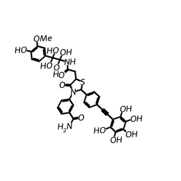 COc1cc(C(O)(O)C(O)(O)NC(=O)CC2SC(c3ccc(C#Cc4c(O)c(O)c(O)c(O)c4O)cc3)N(c3cccc(C(N)=O)c3)C2=O)ccc1O